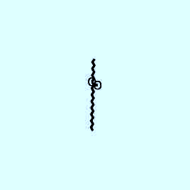 CCCCCCCCCCCCCCC(=O)OCCCCCCC